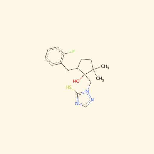 CC1(C)CCC(Cc2ccccc2F)C1(O)Cn1ncnc1S